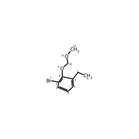 CCc1cccc(Br)c1OCOC